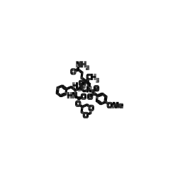 COc1ccc(S(=O)(=O)N(CC(O)C(Cc2ccccc2)NC(=O)OC2COCOC2)CC(C)(C)CCC(N)=O)cc1